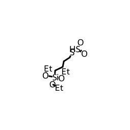 CCO[Si](CCCCS[SH](=O)=O)(OCC)OCC